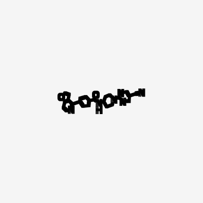 N#Cc1cnc(N2CCC(NC(=O)c3ccc(-c4nccc5occc45)cc3)CC2)nc1